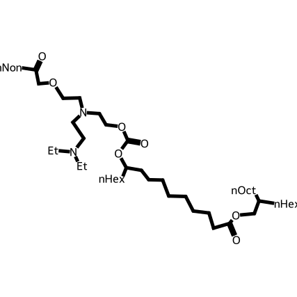 CCCCCCCCCC(=O)COCCN(CCOC(=O)OC(CCCCCC)CCCCCCCCC(=O)OCC(CCCCCC)CCCCCCCC)CCN(CC)CC